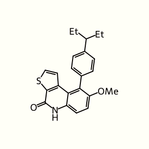 CCC(CC)c1ccc(-c2c(OC)ccc3[nH]c(=O)c4sccc4c23)cc1